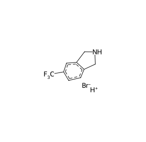 FC(F)(F)c1ccc2c(c1)CNC2.[Br-].[H+]